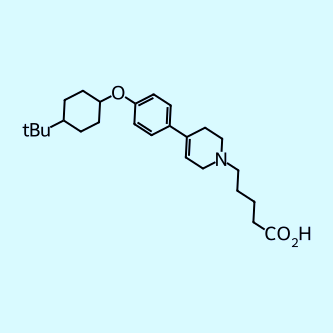 CC(C)(C)C1CCC(Oc2ccc(C3=CCN(CCCCC(=O)O)CC3)cc2)CC1